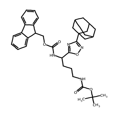 CC(C)(C)OC(=O)NCCCC(NC(=O)OCC1c2ccccc2-c2ccccc21)c1nc(C23CC4CC(CC(C4)C2)C3)no1